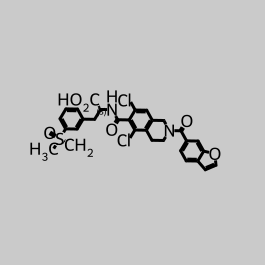 C=S(C)(=O)c1cccc(C[C@H](NC(=O)c2c(Cl)cc3c(c2Cl)CCN(C(=O)c2ccc4ccoc4c2)C3)C(=O)O)c1